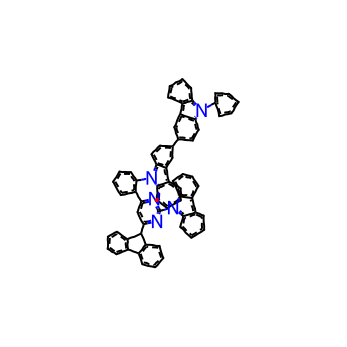 c1ccc(-n2c3ccccc3c3cc(-c4ccc5c(c4)c4ccccc4n5-c4ccccc4-c4cc(C5c6ccccc6-c6ccccc65)nc(-n5c6ccccc6c6ccccc65)n4)ccc32)cc1